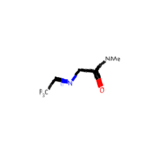 CNC(=O)C/N=C/C(F)(F)F